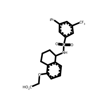 CC(C)c1cc(C(F)(F)F)cc(S(=O)(=O)NC2CCCc3c(OCC(=O)O)cccc32)c1